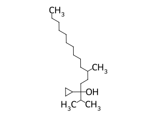 CCCCCCCCCCC(C)CCC(O)(C(C)C)C1CC1